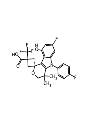 CC1(C)CO[C@]2(C[C@](C(=O)O)(C(F)(F)F)C2)c2c1n(-c1ccc(F)cc1)c1cc(F)cc(O)c12